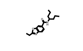 CCCC(CCC)NC(=O)c1ccc2nc(CC)oc2c1